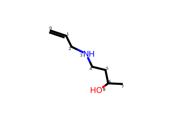 C=CCNCCC(C)O